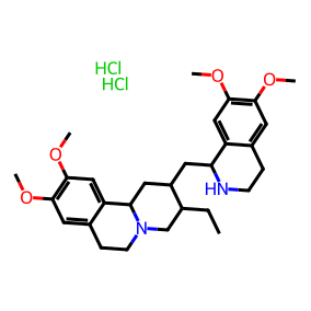 CCC1CN2CCc3cc(OC)c(OC)cc3C2CC1CC1NCCc2cc(OC)c(OC)cc21.Cl.Cl